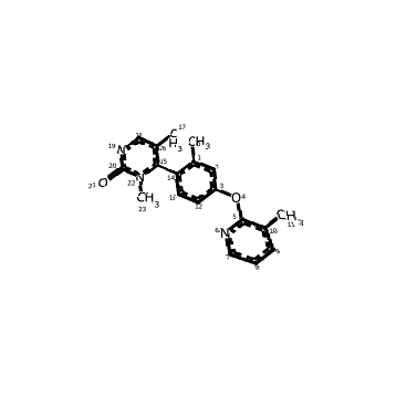 Cc1cc(Oc2ncccc2C)ccc1-c1c(C)cnc(=O)n1C